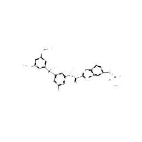 CC(C)Oc1cc(OC(F)(F)F)cc(C(C)(C)c2cc(Cl)cc(NC(=O)c3nc4cc(NS(C)(=O)=O)ccc4s3)c2)c1